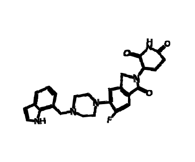 O=C1CCC(N2Cc3cc(N4CCN(Cc5cccc6cc[nH]c56)CC4)c(F)cc3C2=O)C(=O)N1